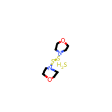 C1CN(SSN2CCOCC2)CCO1.S